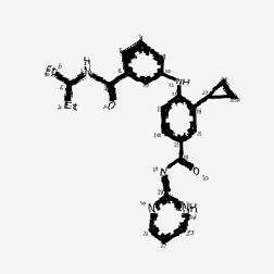 CCC(CC)NC(=O)c1cccc(Nc2ccc(C(=O)N=c3nccc[nH]3)cc2C2CC2)c1